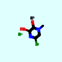 Cn1cc(Br)nc(O)c1=O.[Br-].[H+]